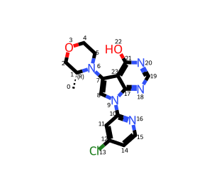 C[C@@H]1COCCN1c1cn(-c2cc(Cl)ccn2)c2ncnc(O)c12